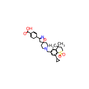 CC1(C)CCS(=O)(=O)c2c(C3CC3)cc(CN3CCC4(CC3)CC(C3C=CC(C(=O)O)=CC3)=NO4)cc21